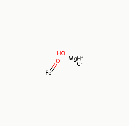 [Cr].[MgH+].[OH-].[O]=[Fe]